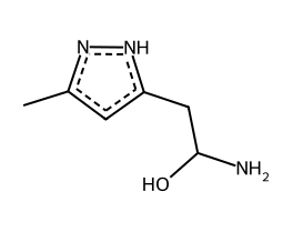 Cc1cc(CC(N)O)[nH]n1